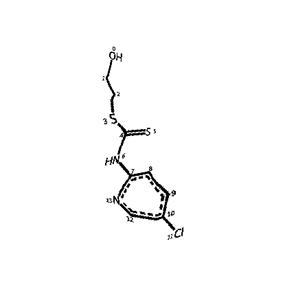 OCCSC(=S)Nc1ccc(Cl)cn1